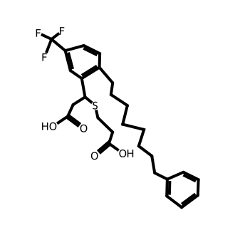 O=C(O)CCSC(CC(=O)O)c1cc(C(F)(F)F)ccc1CCCCCCCCc1ccccc1